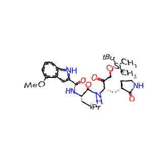 COc1cccc2[nH]c(C(=O)N[C@@H](CC(C)C)C(=O)N[C@@H](C[C@@H]3CCNC3=O)C(=O)CO[Si](C)(C)C(C)(C)C)cc12